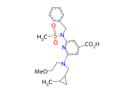 COCCN(CC1CC1C)c1cc(C(=O)O)cc(N(Cc2ccccc2)S(C)(=O)=O)n1